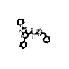 O=C(Nc1nnc(Cc2ccccc2)o1)c1cc(-c2ccccc2)nc2nc(N3CCCCC3)sc12